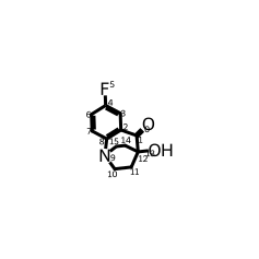 O=C1c2cc(F)ccc2N2CCC1(O)CC2